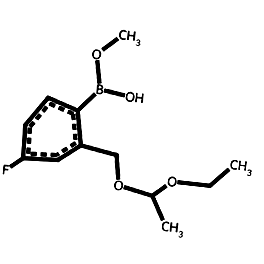 CCOC(C)OCc1cc(F)ccc1B(O)OC